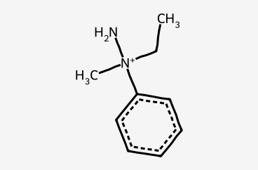 CC[N+](C)(N)c1ccccc1